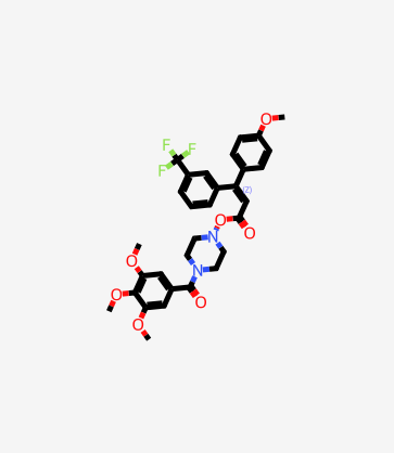 COc1ccc(/C(=C/C(=O)ON2CCN(C(=O)c3cc(OC)c(OC)c(OC)c3)CC2)c2cccc(C(F)(F)F)c2)cc1